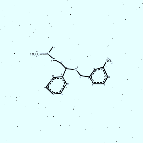 CN(CCC(OCc1cccc([N+](=O)[O-])c1)c1ccccc1)C(=O)O